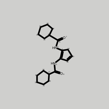 O=C(NC1=C(NC(=O)C2CCCCC2)CC=C1)C1CCCCC1